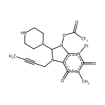 CC#CCN1c2c(n(CC)c(=O)n(C)c2=O)N(OC(=O)C(F)(F)F)C1N1CCNCC1